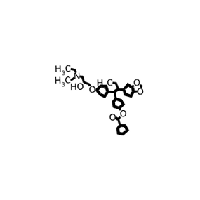 CCC(=C(c1ccc(OCC(O)CN(CC)CC)cc1)c1ccc(OC(=O)c2ccccc2)cc1)c1ccc2c(c1)OCO2